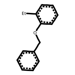 CCc1[c]cccc1OCc1ccccc1